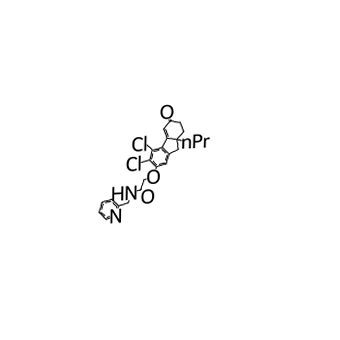 CCCC12CCC(=O)C=C1c1c(cc(OCC(=O)NCc3ccccn3)c(Cl)c1Cl)C2